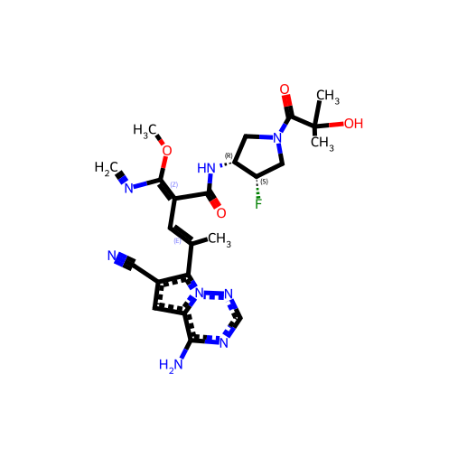 C=N/C(OC)=C(\C=C(/C)c1c(C#N)cc2c(N)ncnn12)C(=O)N[C@@H]1CN(C(=O)C(C)(C)O)C[C@@H]1F